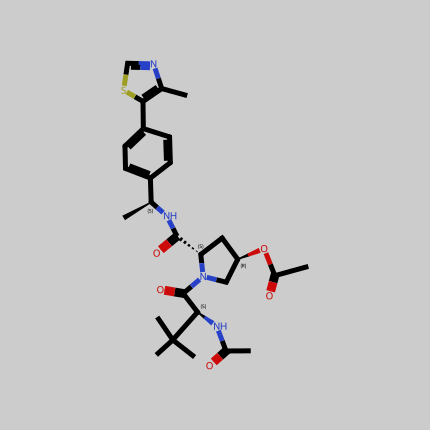 CC(=O)N[C@H](C(=O)N1C[C@H](OC(C)=O)C[C@H]1C(=O)N[C@@H](C)c1ccc(-c2scnc2C)cc1)C(C)(C)C